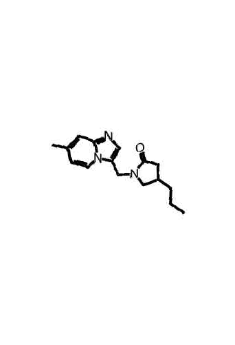 CCCC1CC(=O)N(Cc2cnc3cc(C)ccn23)C1